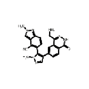 Cn1cc2c(C#N)c(-c3c(-c4ccc5c(=O)[nH]nc(CN)c5c4)cnn3C)ccc2n1